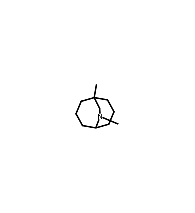 CN1CC2(C)CCCC1CCC2